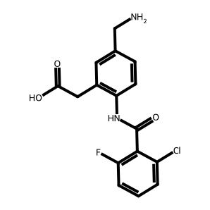 NCc1ccc(NC(=O)c2c(F)cccc2Cl)c(CC(=O)O)c1